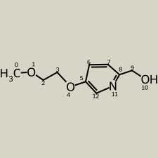 COCCOc1ccc(CO)nc1